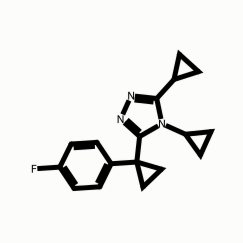 Fc1ccc(C2(c3nnc(C4CC4)n3C3CC3)CC2)cc1